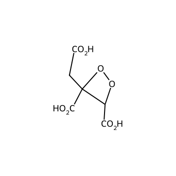 O=C(O)CC1(C(=O)O)OOC1C(=O)O